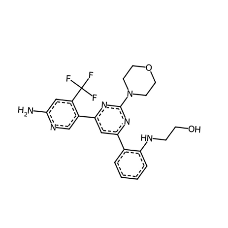 Nc1cc(C(F)(F)F)c(-c2cc(-c3ccccc3NCCO)nc(N3CCOCC3)n2)cn1